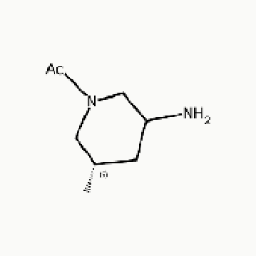 CC(=O)N1CC(N)C[C@H](C)C1